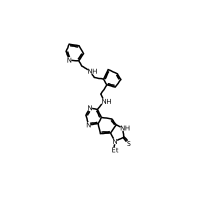 CCn1c(=S)[nH]c2cc3c(NCc4ccccc4CNCc4ccccn4)ncnc3cc21